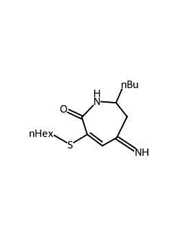 CCCCCCSC1=CC(=N)CC(CCCC)NC1=O